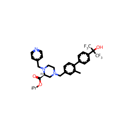 Cc1cc(CN2CCN(Cc3ccncc3)[C@H](C(=O)OC(C)C)C2)ccc1-c1ccc(C(O)(C(F)(F)F)C(F)(F)F)cc1